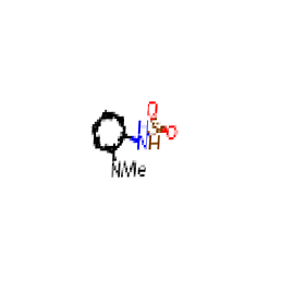 CNc1ccccc1N[SH](=O)=O